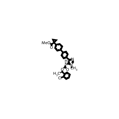 COC(=O)C1(c2ccc(-c3ccc(-c4ncn(C)c4NC(=O)O[C@H](C)c4ccccc4Cl)cc3)cc2)CC1